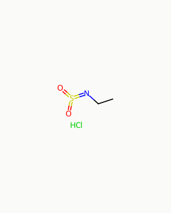 CCN=S(=O)=O.Cl